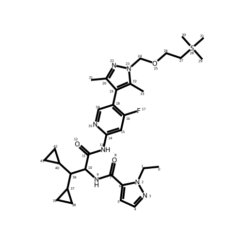 CCn1nccc1C(=O)NC(C(=O)Nc1cc(F)c(-c2c(C)nn(COCCS(C)(C)C)c2C)cn1)C(C1CC1)C1CC1